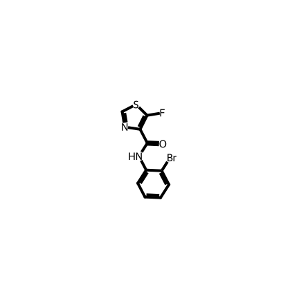 O=C(Nc1ccccc1Br)c1ncsc1F